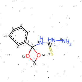 NNC(=S)NC1(c2ccccc2)OCO1